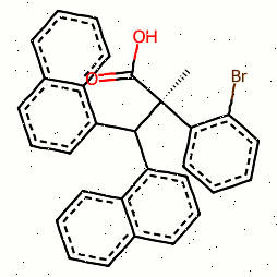 C[C@](C(=O)O)(c1ccccc1Br)C(c1cccc2ccccc12)c1cccc2ccccc12